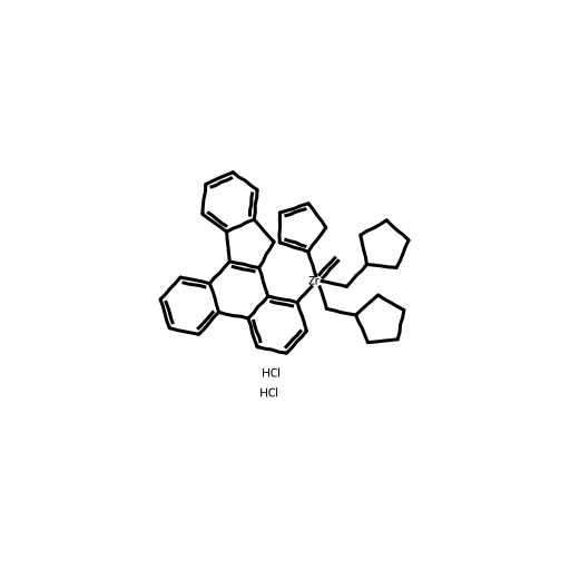 Cl.Cl.[CH2]=[Zr]([CH2]C1CCCC1)([CH2]C1CCCC1)([C]1=CC=CC1)[c]1cccc2c1c1c(c3ccccc32)-c2ccccc2C1